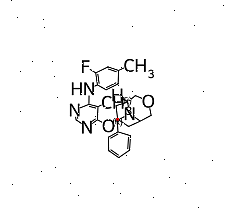 Cc1ccc(Nc2ncnc(O[C@@H]3CC4COC[C@@H](C3)N4Cc3ccccc3)c2C)c(F)c1